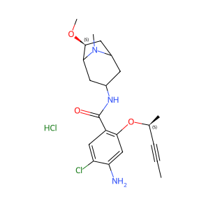 CC#C[C@H](C)Oc1cc(N)c(Cl)cc1C(=O)NC1CC2C[C@H](OC)C(C1)N2C.Cl